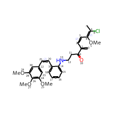 C=C(/C=C\C(OC)=C(/C)Cl)C(=O)CCNc1ccccc1/C=C\c1cc(OC)c(OC)c(OC)c1